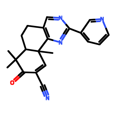 CC1(C)C(=O)C(C#N)=CC2(C)c3nc(-c4cccnc4)ncc3CCC12